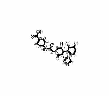 Cc1c(Cl)ccc(-n2cnnn2)c1-c1ccn(CC(=O)Nc2ccc(C(=O)O)cc2)c(=O)c1